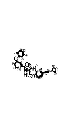 CN1C(=O)[C@@H](NC(=O)c2cc(Oc3ccccc3)ccn2)COc2ccc(C#C[C]3COC3)cc21